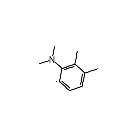 Cc1cc[c]c(N(C)C)c1C